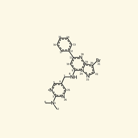 CN(C)c1ncc(CNc2cc(-c3ccccc3)nc3c(Br)cnn23)cn1